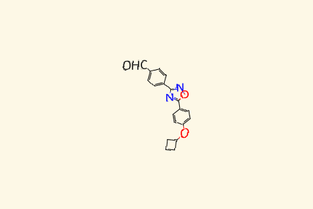 O=Cc1ccc(-c2noc(-c3ccc(OC4CCC4)cc3)n2)cc1